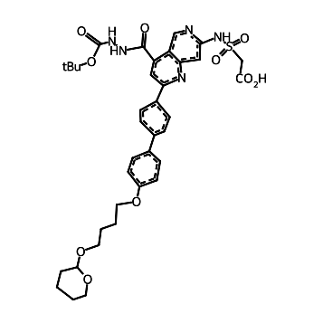 CC(C)(C)OC(=O)NNC(=O)c1cc(-c2ccc(-c3ccc(OCCCCOC4CCCCO4)cc3)cc2)nc2cc(NS(=O)(=O)CC(=O)O)ncc12